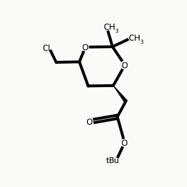 CC(C)(C)OC(=O)C[C@H]1CC(CCl)OC(C)(C)O1